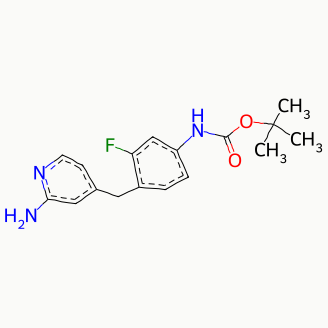 CC(C)(C)OC(=O)Nc1ccc(Cc2ccnc(N)c2)c(F)c1